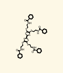 O=C(NCCSC1=C(SCCNC(=O)c2ccccc2)SC(=C2SC(SCCNC(=O)c3ccccc3)=C(SCCNC(=O)c3ccccc3)S2)S1)c1ccccc1